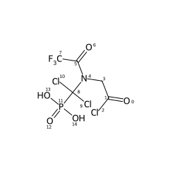 O=C(Cl)CN(C(=O)C(F)(F)F)C(Cl)(Cl)P(=O)(O)O